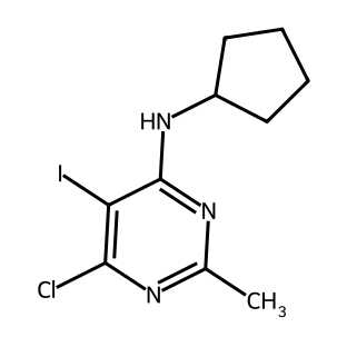 Cc1nc(Cl)c(I)c(NC2CCCC2)n1